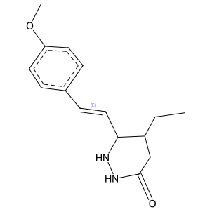 CCC1CC(=O)NNC1/C=C/c1ccc(OC)cc1